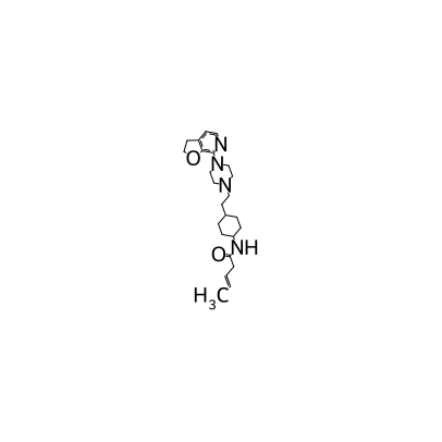 C/C=C/CC(=O)NC1CCC(CCN2CCN(c3nccc4c3OCC4)CC2)CC1